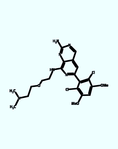 COc1cc(OC)c(Cl)c(-c2cc3cnc(N)nc3c(NCCOCCN(C)C)n2)c1Cl